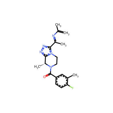 C=C(C)/N=C(\C)c1nnc2n1CCN(C(=O)c1ccc(F)c(C)c1)[C@@H]2C